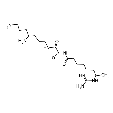 CC(CCCCCC(=O)NC(O)C(=O)NCCCC(N)CCCN)NC(=N)N